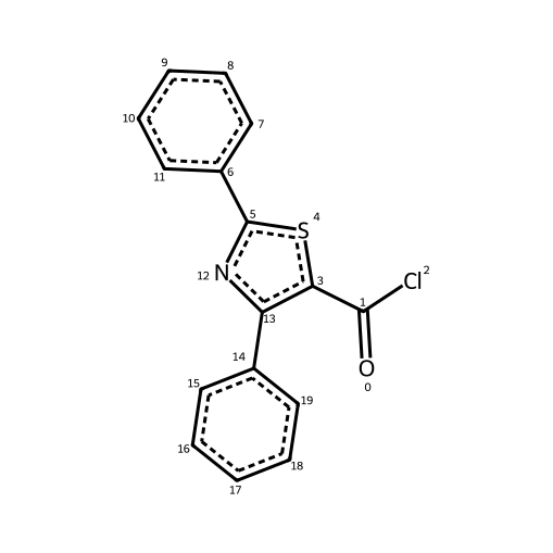 O=C(Cl)c1sc(-c2ccccc2)nc1-c1ccccc1